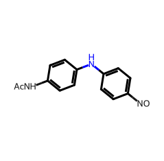 CC(=O)Nc1ccc(Nc2ccc(N=O)cc2)cc1